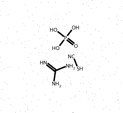 N#CS.N=C(N)N.O=P(O)(O)O